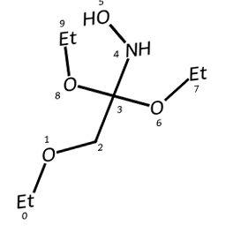 CCOCC(NO)(OCC)OCC